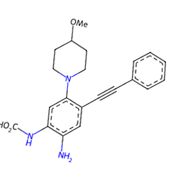 COC1CCN(c2cc(NC(=O)O)c(N)cc2C#Cc2ccccc2)CC1